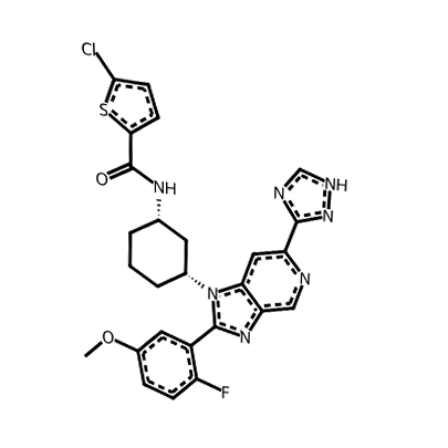 COc1ccc(F)c(-c2nc3cnc(-c4nc[nH]n4)cc3n2[C@@H]2CCC[C@H](NC(=O)c3ccc(Cl)s3)C2)c1